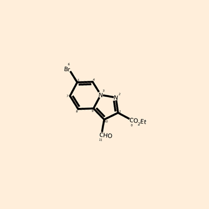 CCOC(=O)c1nn2cc(Br)ccc2c1C=O